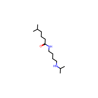 CC(C)CCCC(=O)NCCCCNC(C)C